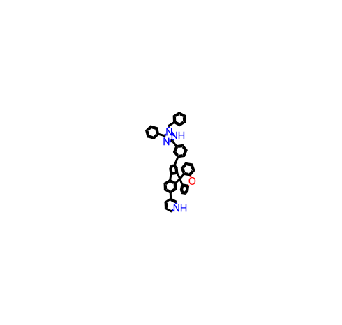 C1=CC(c2ccc3c(c2)C2(c4ccccc4Oc4ccccc42)c2cc(-c4cccc(C5=NC(c6ccccc6)N(Cc6ccccc6)N5)c4)ccc2-3)=CNC1